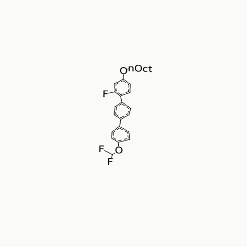 CCCCCCCCOc1ccc(-c2ccc(-c3ccc(OC(F)F)cc3)cc2)c(F)c1